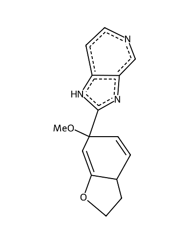 COC1(c2nc3cnccc3[nH]2)C=CC2CCOC2=C1